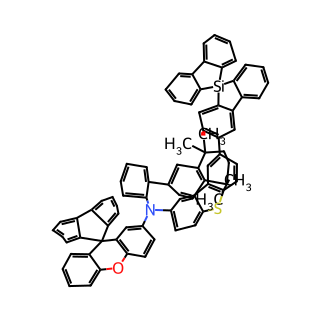 CC1(C)CCC(C)(C)c2cc(-c3ccccc3N(c3ccc4c(c3)C3(c5ccccc5O4)c4ccccc4-c4ccccc43)c3ccc4sc5ccc(-c6ccc7c(c6)-c6ccccc6[Si]76c7ccccc7-c7ccccc76)cc5c4c3)ccc21